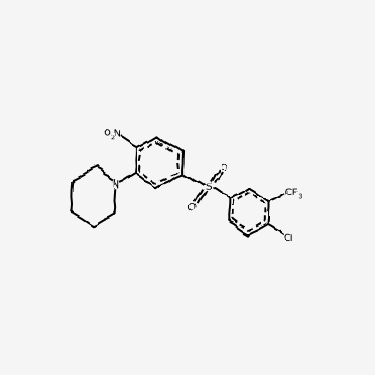 O=[N+]([O-])c1ccc(S(=O)(=O)c2ccc(Cl)c(C(F)(F)F)c2)cc1N1CCCCC1